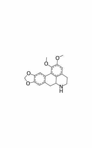 COc1cc2c3c(c1OC)-c1cc4c(cc1CC3NCC2)OCO4